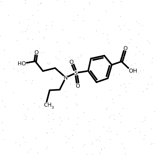 CCCN(CCC(=O)O)S(=O)(=O)c1ccc(C(=O)O)cc1